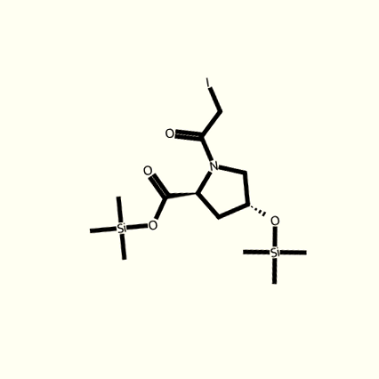 C[Si](C)(C)OC(=O)[C@@H]1C[C@@H](O[Si](C)(C)C)CN1C(=O)CI